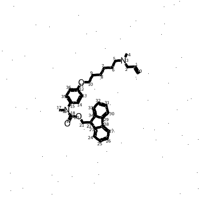 C=CCN(C)CCCCCCOc1ccc(N(C)C(=O)OCC2c3ccccc3-c3ccccc32)cc1